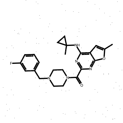 Cc1cc2c(NC3(C)CC3)nc(C(=O)N3CCN(Cc4cccc(F)c4)CC3)nc2o1